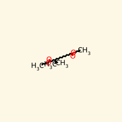 CCCCOC(=O)CCCCCCCCCC(CCC(=O)OCCCC)C(C)C